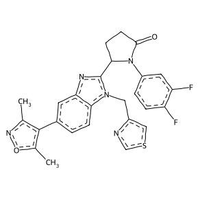 Cc1noc(C)c1-c1ccc2c(c1)nc(C1CCC(=O)N1c1ccc(F)c(F)c1)n2Cc1cscn1